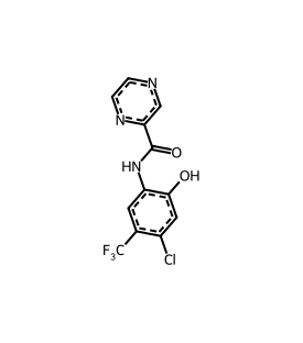 O=C(Nc1cc(C(F)(F)F)c(Cl)cc1O)c1cnccn1